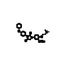 COc1cc(N2CC(=O)N(c3ccc(Oc4ccccc4)cc3)C2=O)ccc1OCCN(C)C